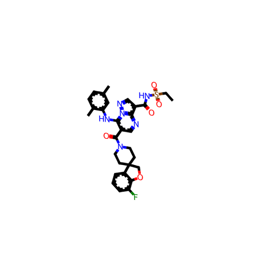 CCS(=O)(=O)NC(=O)c1cnn2c(Nc3cc(C)ccc3C)c(C(=O)N3CCC4(CC3)COc3c(F)cccc34)cnc12